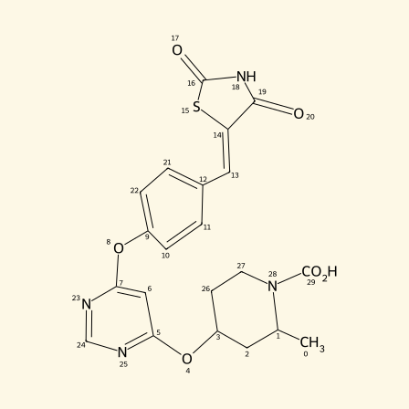 CC1CC(Oc2cc(Oc3ccc(/C=C4\SC(=O)NC4=O)cc3)ncn2)CCN1C(=O)O